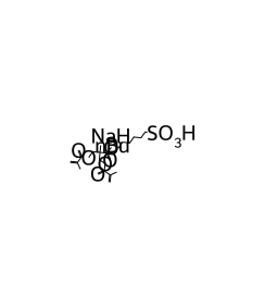 C=C(C)C(=O)OCC(CCCC)(COC(=O)C(=C)C)C(=O)OCCCCCCS(=O)(=O)O.[NaH]